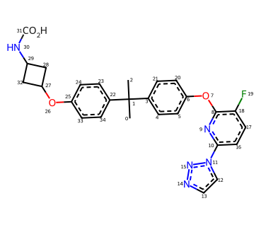 CC(C)(c1ccc(Oc2nc(-n3ccnn3)ccc2F)cc1)c1ccc(OC2CC(NC(=O)O)C2)cc1